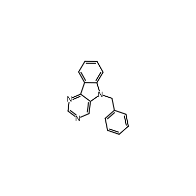 c1ccc(Cn2c3ccccc3c3ncncc32)cc1